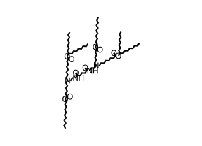 CCCCCCCCCCCOC(=O)CCCCCN(CCCCCCCC(=O)OC(CCCCCCCC)CCCCCCCC)CCNC(=O)CCCC(=O)NCCN(CCCCCCCC(=O)OC(CCCCCCCC)CCCCCCCC)CCCCCC(=O)OCCCCCCCCCCC